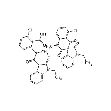 CCN1C(=O)C(C(=O)N(C)c2cccc(Cl)c2C(=O)O)c2ccccc21.CCN1C(=O)C2(C(=O)c3c(Cl)cccc3N(C)C2=O)c2ccccc21